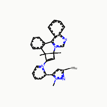 Cn1nc(C(C)(C)C)cc1-c1cccc[n+]1C1=CC2(C)[n+]3cnc4ccccc4c3-c3ccccc3C12C